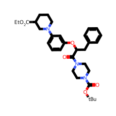 CCOC(=O)C1CCCN(c2cccc(OC(Cc3ccccc3)C(=O)N3CCN(C(=O)OC(C)(C)C)CC3)c2)C1